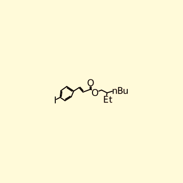 CCCCC(CC)COC(=O)/C=C/c1ccc(I)cc1